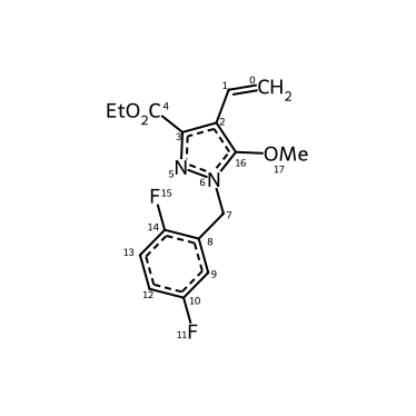 C=Cc1c(C(=O)OCC)nn(Cc2cc(F)ccc2F)c1OC